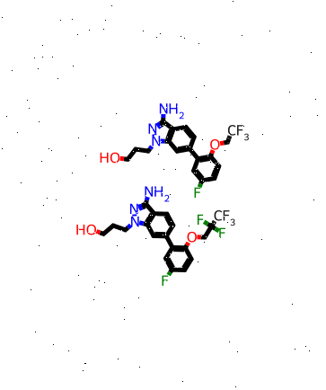 Nc1nn(CCCO)c2cc(-c3cc(F)ccc3OCC(F)(F)C(F)(F)F)ccc12.Nc1nn(CCCO)c2cc(-c3cc(F)ccc3OCC(F)(F)F)ccc12